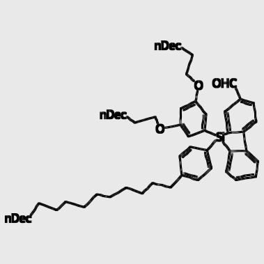 CCCCCCCCCCCCCCCCCCCCc1ccc([Si]2(c3cc(OCCCCCCCCCCCC)cc(OCCCCCCCCCCCC)c3)c3ccccc3-c3ccc(C=O)cc32)cc1